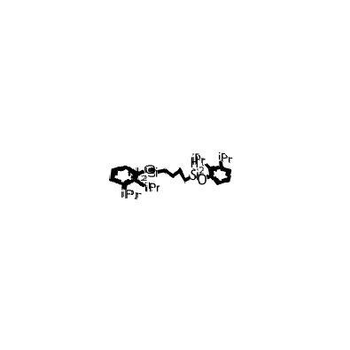 CC(C)c1cccc(O[SiH2]CCCC[SiH2]Oc2cccc(C(C)C)c2C(C)C)c1C(C)C